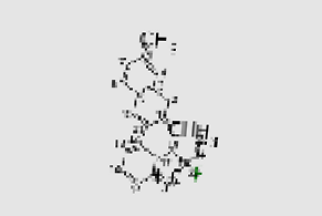 C=C1Cc2cc(C)ccc2C=C1c1ccccc1CC(C)(C)F